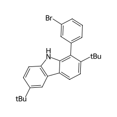 CC(C)(C)c1ccc2[nH]c3c(-c4cccc(Br)c4)c(C(C)(C)C)ccc3c2c1